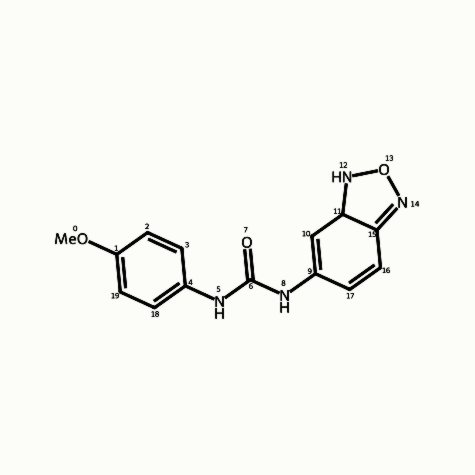 COc1ccc(NC(=O)NC2=CC3NON=C3C=C2)cc1